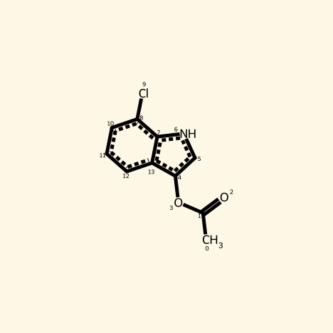 CC(=O)Oc1c[nH]c2c(Cl)cccc12